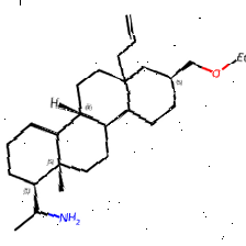 C=CCC12CC[C@@H]3C(CC[C@@]4(C)C3CCC[C@@H]4C(C)N)C1CC[C@H](COCC)C2